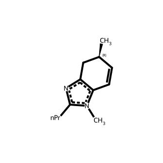 CCCc1nc2c(n1C)C=C[C@H](C)C2